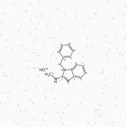 CNc1nc2ccccc2n1Cc1ccccc1.Cl